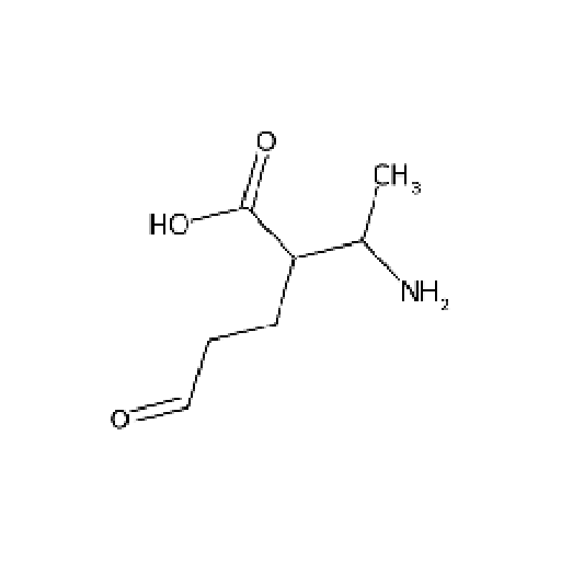 CC(N)C(CCC=O)C(=O)O